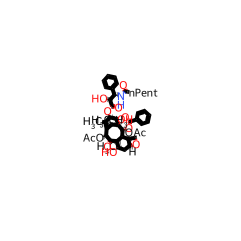 CCCCCC(=O)N[C@@H](c1ccccc1)[C@@H](O)C(=O)O[C@H]1C[C@@]2(O)[C@@H](OC(=O)c3ccccc3)C3[C@](C)(C(=O)[C@H](OC(C)=O)C(=C1C)C2(C)C)[C@@H](O)C[C@H]1OC[C@@]31OC(C)=O